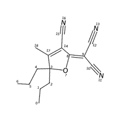 CCCC1(CCC)OC(=C(C#N)C#N)C(C#N)=C1C